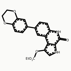 CCOC(=O)Oc1c[nH]c2c(=O)[nH]c3ccc(-c4ccc5c(c4)OCCO5)cc3c12